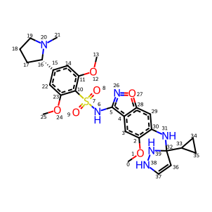 COc1cc2c(NS(=O)(=O)c3c(OC)cc([C@@H]4CCCN4C)cc3OC)noc2cc1NC1(C2CC2)C=CNN1